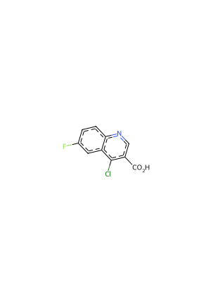 O=C(O)c1cnc2ccc(F)cc2c1Cl